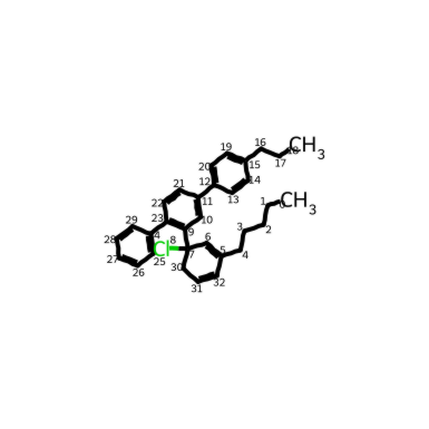 CCCCCC1=CC(Cl)(c2cc(-c3ccc(CCC)cc3)ccc2-c2ccccc2)CC=C1